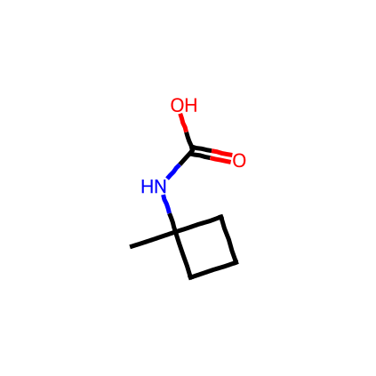 CC1(NC(=O)O)CCC1